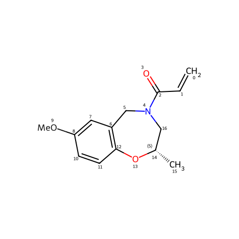 C=CC(=O)N1Cc2cc(OC)ccc2O[C@@H](C)C1